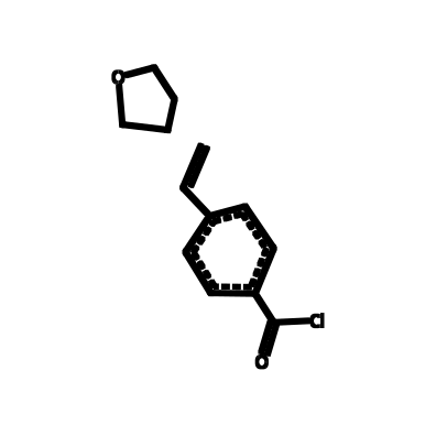 C1CCOC1.C=Cc1ccc(C(=O)Cl)cc1